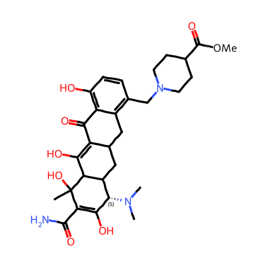 COC(=O)C1CCN(Cc2ccc(O)c3c2CC2CC4C(C(O)=C2C3=O)C(C)(O)C(C(N)=O)=C(O)[C@H]4N(C)C)CC1